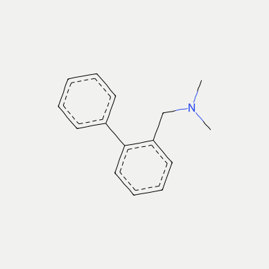 CN(C)Cc1ccccc1-c1ccccc1